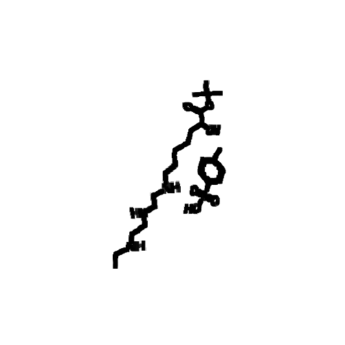 CCNCCNCCNCCCCCC(O)C(=O)OC(C)(C)C.Cc1ccc(S(=O)(=O)O)cc1